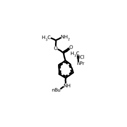 CCCC.CCCCNc1ccc(C(=O)OC(C)N)cc1.Cl